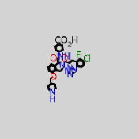 O=C(O)c1ccc(NC(=O)C2c3cccc(OCC4CCNCC4)c3CCN2C(=O)C=Cc2c(-n3cnnn3)ccc(Cl)c2F)cc1